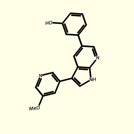 COc1cncc(-c2c[nH]c3ncc(-c4cccc(O)c4)cc23)c1